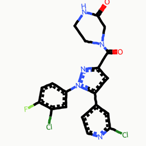 O=C1CN(C(=O)c2cc(-c3ccnc(Cl)c3)n(-c3ccc(F)c(Cl)c3)n2)CCN1